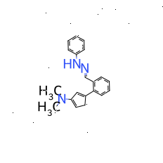 CN(C)C1=CCC(c2ccccc2C=NNc2ccccc2)=C1